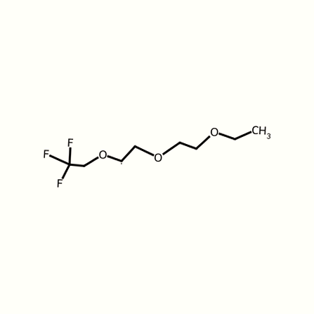 CCOCCOC[CH]OCC(F)(F)F